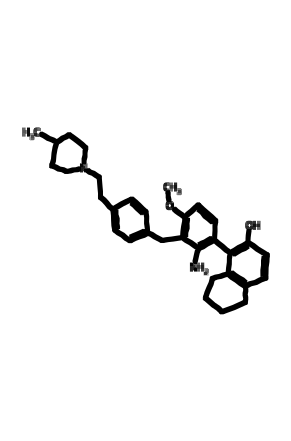 COc1ccc(-c2c(O)ccc3c2CCCC3)c(N)c1Cc1ccc(CCN2CCC(C)CC2)cc1